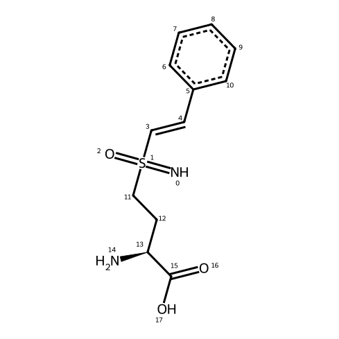 N=S(=O)(/C=C/c1ccccc1)CC[C@H](N)C(=O)O